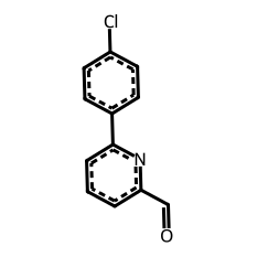 O=Cc1cccc(-c2ccc(Cl)cc2)n1